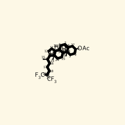 CC(=O)O[C@H]1CC[C@@]2(C)C(=CC[C@H]3[C@@H]4CC[C@H]([C@H](C)CCCC(C(F)(F)F)C(F)(F)F)[C@@]4(C)CC[C@@H]32)C1